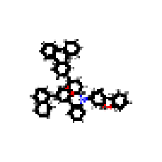 c1cc(-c2ccccc2N(c2ccc(-c3ccc4c5ccccc5c5ccccc5c4c3)cc2)c2ccc3c(c2)oc2ccccc23)cc(-c2cccc3ccccc23)c1